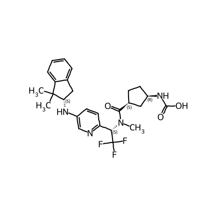 CN(C(=O)[C@H]1CC[C@@H](NC(=O)O)C1)[C@@H](c1ccc(N[C@H]2Cc3ccccc3C2(C)C)cn1)C(F)(F)F